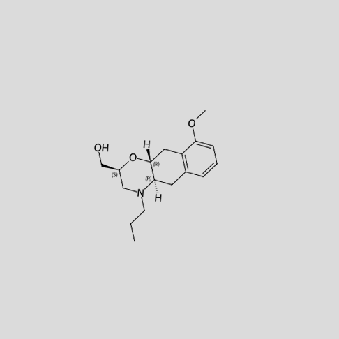 CCCN1C[C@@H](CO)O[C@@H]2Cc3c(cccc3OC)C[C@H]21